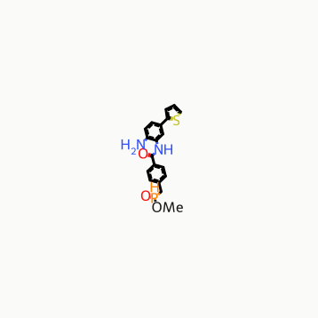 CO[PH](=O)Cc1ccc(C(=O)Nc2cc(-c3cccs3)ccc2N)cc1